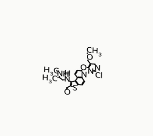 CCOCc1cnc(Cl)nc1Oc1ccc2c(ccc3sc(C=O)c(NC[C@@H](C)NC)c32)n1